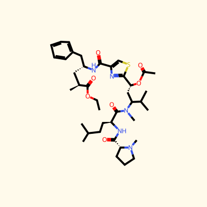 CCOC(=O)[C@@H](C)C[C@H](Cc1ccccc1)NC(=O)c1csc([C@@H](CC(C(C)C)N(C)C(=O)[C@H](CCC(C)C)NC(=O)[C@H]2CCCN2C)OC(C)=O)n1